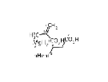 C=C(C)C(=O)O.CCCCCCCCCC(=O)O.[MgH2]